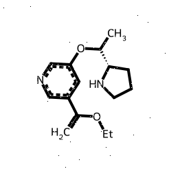 C=C(OCC)c1cncc(OC(C)[C@@H]2CCCN2)c1